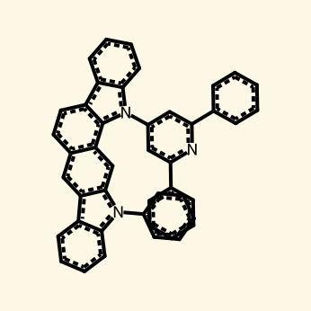 c1ccc(-c2cc(-n3c4ccccc4c4ccc5cc6c7ccccc7n(-c7ccccc7)c6cc5c43)cc(-c3ccccc3)n2)cc1